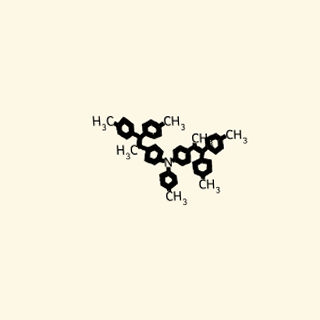 CC(=C(c1ccc(C)cc1)c1ccc(C)cc1)c1ccc(N(c2ccc(C)cc2)c2ccc(C(C)=C(c3ccc(C)cc3)c3ccc(C)cc3)cc2)cc1